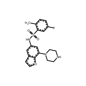 Cc1ccc(F)cc1S(=O)(=O)Nc1cc(N2CCNCC2)c2occc2c1